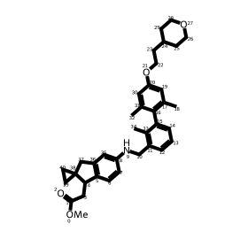 COC(=O)CC1c2ccc(NCc3cccc(-c4c(C)cc(OCCC5CCOCC5)cc4C)c3C)cc2CC12CC2